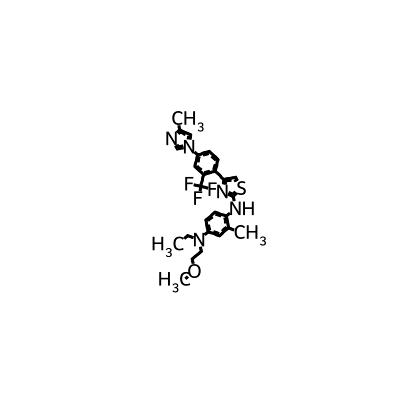 CCN(CCOC)c1ccc(Nc2nc(-c3ccc(-n4cnc(C)c4)cc3C(F)(F)F)cs2)c(C)c1